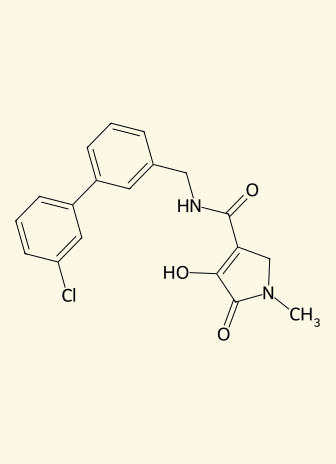 CN1CC(C(=O)NCc2cccc(-c3cccc(Cl)c3)c2)=C(O)C1=O